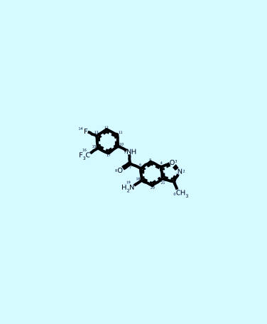 Cc1noc2cc(C(=O)Nc3ccc(F)c(C(F)(F)F)c3)c(N)cc12